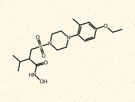 CCOc1ccc(N2CCN(S(=O)(=O)CC(C(=O)NO)C(C)C)CC2)c(C)c1